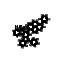 CC1(C)c2ccccc2-c2c1c(-c1ccc3ccc4c(-c5ccccc5)ccc5ccc1c3c54)cc1c2c2ccccc2n1-c1ccccc1